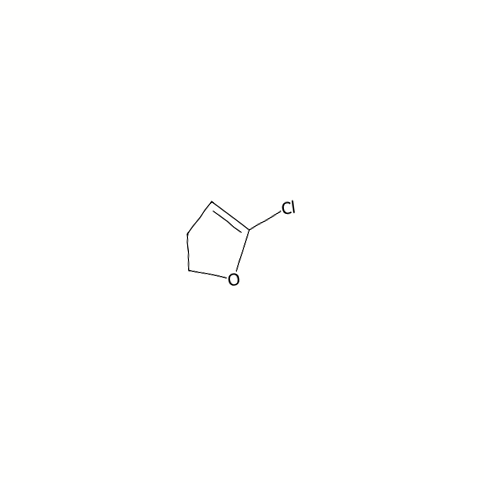 ClC1=CCCO1